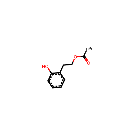 CCCC(=O)OCCc1ccccc1O